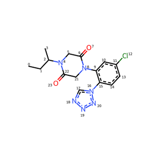 CCC(C)N1CC(=O)N(c2cc(Cl)ccc2-n2cnnn2)CC1=O